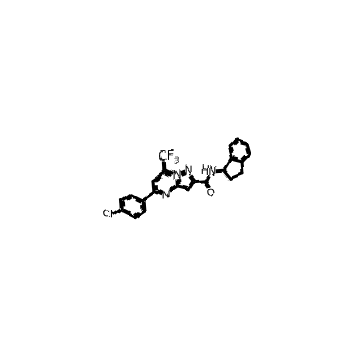 O=C(NC1CCc2ccccc21)c1cc2nc(-c3ccc(Cl)cc3)cc(C(F)(F)F)n2n1